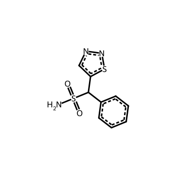 NS(=O)(=O)C(c1ccccc1)c1cnns1